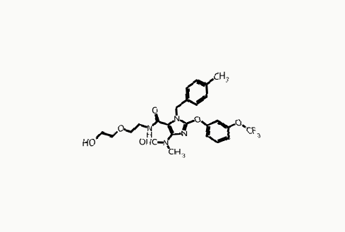 Cc1ccc(Cn2c(Oc3cccc(OC(F)(F)F)c3)nc(N(C)C=O)c2C(=O)NCCOCCO)cc1